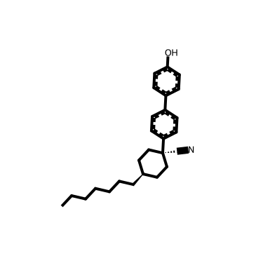 CCCCCCC[C@H]1CC[C@@](C#N)(c2ccc(-c3ccc(O)cc3)cc2)CC1